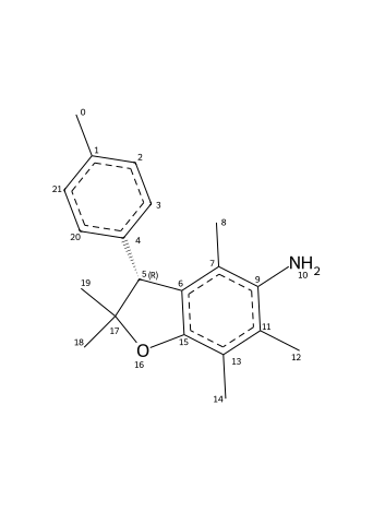 Cc1ccc([C@@H]2c3c(C)c(N)c(C)c(C)c3OC2(C)C)cc1